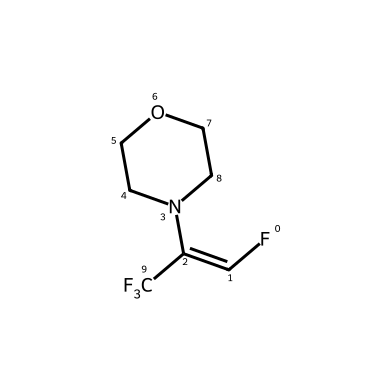 F/C=C(\N1CCOCC1)C(F)(F)F